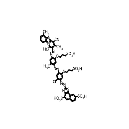 Cc1cc(N=Nc2c(C)c(C#N)c3nc4c(C)cccc4n3c2O)c(OCCCS(=O)(=O)O)cc1N=Nc1cc(Cl)c(N=Nc2nc3c(S(=O)(=O)O)cc4ccc(S(=O)(=O)O)cc4c3s2)cc1SCCCS(=O)(=O)O